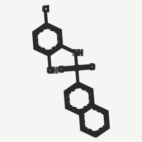 O=S(=O)(Nc1cc(Cl)ccc1O)c1ccc2ccccc2c1